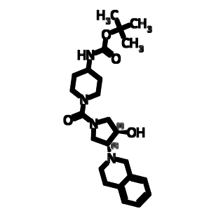 CC(C)(C)OC(=O)NC1CCN(C(=O)N2C[C@@H](O)[C@H](N3CCc4ccccc4C3)C2)CC1